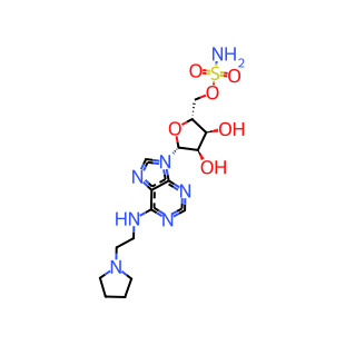 NS(=O)(=O)OC[C@H]1O[C@@H](n2cnc3c(NCCN4CCCC4)ncnc32)[C@H](O)[C@@H]1O